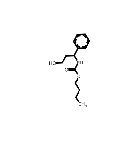 CCCCOC(=O)NC(CCO)c1ccccc1